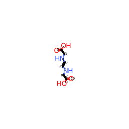 O=C(O)CNC=CNCC(=O)O